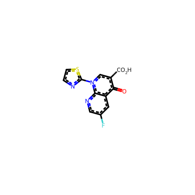 O=C(O)c1cn(-c2nccs2)c2ncc(F)cc2c1=O